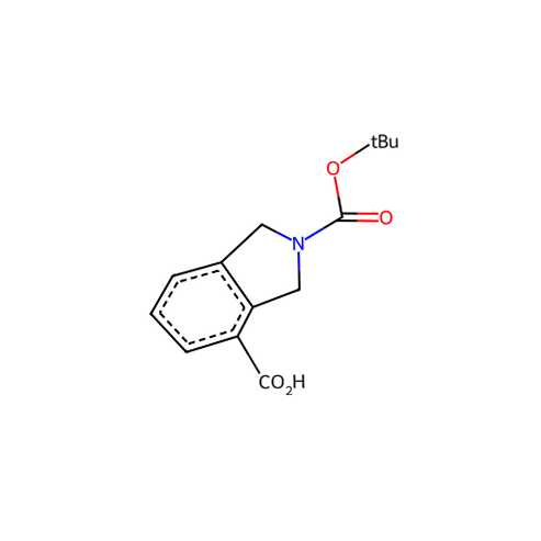 CC(C)(C)OC(=O)N1Cc2cccc(C(=O)O)c2C1